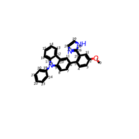 COc1ccc(-c2ccc3c(c2)c2ccccc2n3-c2ccccc2)c(-c2ncc[nH]2)c1